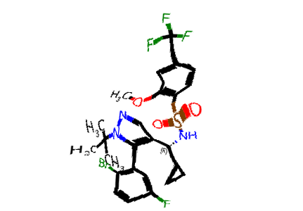 COc1cc(C(F)(F)F)ccc1S(=O)(=O)N[C@@H](c1cnn(C(C)(C)C)c1-c1cc(F)ccc1Br)C1CC1